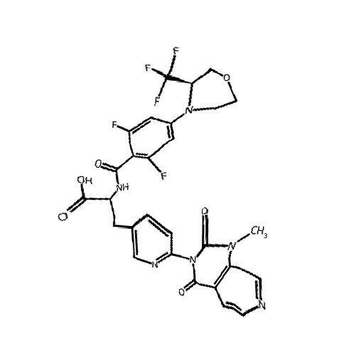 Cn1c(=O)n(-c2ccc(CC(NC(=O)c3c(F)cc(N4CCOC[C@@H]4C(F)(F)F)cc3F)C(=O)O)cn2)c(=O)c2ccncc21